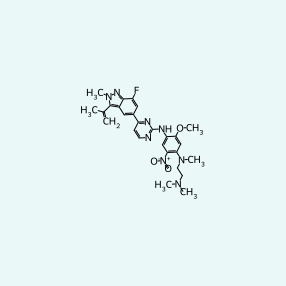 C=C(C)c1c2cc(-c3ccnc(Nc4cc([N+](=O)[O-])c(N(C)CCN(C)C)cc4OC)n3)cc(F)c2nn1C